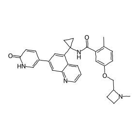 Cc1ccc(OCC2CCN2C)cc1C(=O)NC1(c2cc(-c3ccc(=O)[nH]c3)cc3ncccc23)CC1